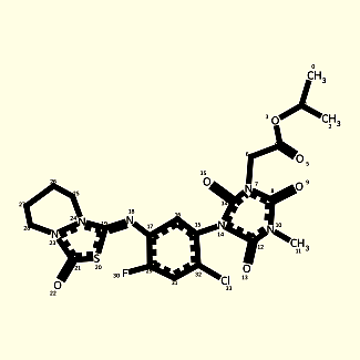 CC(C)OC(=O)Cn1c(=O)n(C)c(=O)n(-c2cc(N=c3sc(=O)n4n3CCCC4)c(F)cc2Cl)c1=O